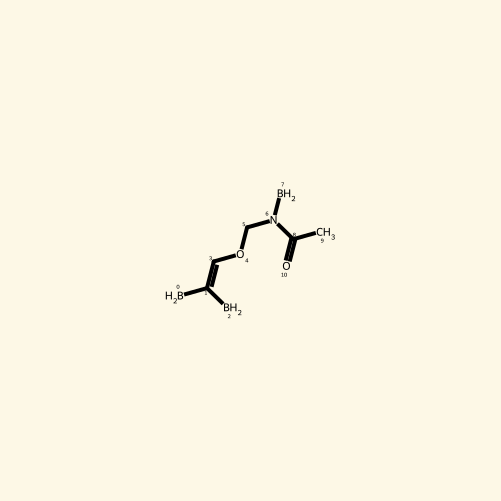 BC(B)=COCN(B)C(C)=O